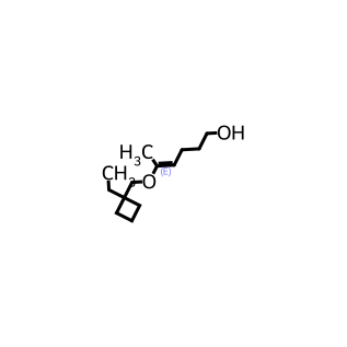 CCC1(CO/C(C)=C/CCCO)CCC1